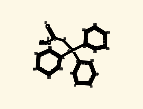 COC(=O)C[P](c1ccccc1)(c1ccccc1)c1ccccc1